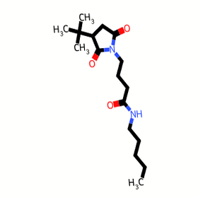 CCCCCNC(=O)CCCN1C(=O)CC(C(C)(C)C)C1=O